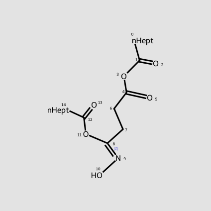 CCCCCCCC(=O)OC(=O)CC/C(=N/O)OC(=O)CCCCCCC